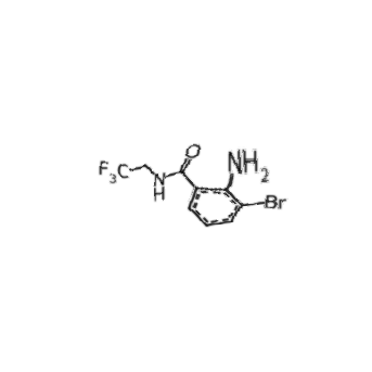 Nc1c(Br)cccc1C(=O)NCC(F)(F)F